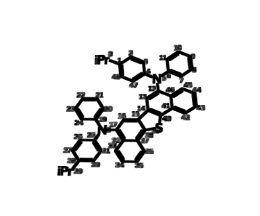 CC(C)c1ccc(N(c2ccccc2)c2cc3c4cc(N(c5ccccc5)c5ccc(C(C)C)cc5)c5ccccc5c4sc3c3ccccc23)cc1